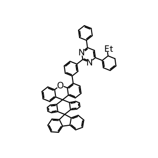 CCC1CC=CC=C1c1cc(-c2ccccc2)nc(-c2cccc(-c3cccc4c3Oc3ccccc3C43c4ccccc4C4(c5ccccc5-c5ccccc54)c4ccccc43)c2)n1